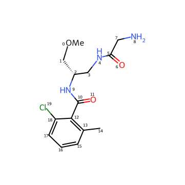 COC[C@H](CNC(=O)CN)NC(=O)c1c(C)cccc1Cl